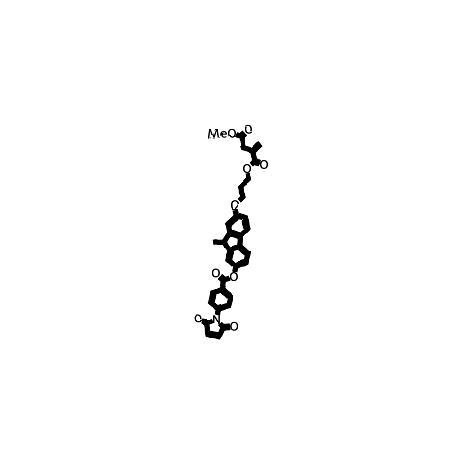 C=C(CC(=O)OC)C(=O)OCCCOc1ccc2c(c1)C(C)c1cc(OC(=O)c3ccc(N4C(=O)C=CC4=O)cc3)ccc1-2